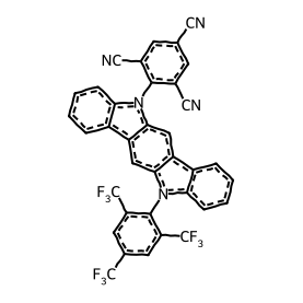 N#Cc1cc(C#N)c(-n2c3ccccc3c3cc4c(cc32)c2ccccc2n4-c2c(C(F)(F)F)cc(C(F)(F)F)cc2C(F)(F)F)c(C#N)c1